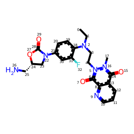 CCN(CCn1c(=O)c2ncccc2c(=O)n1C)c1ccc(N2C[C@H](CN)OC2=O)cc1F